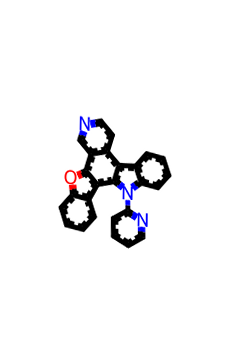 c1ccc(-n2c3ccccc3c3c4ccncc4c4oc5ccccc5c4c32)nc1